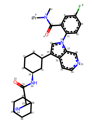 CC(C)N(C)C(=O)c1cc(F)ccc1-n1cc(C2CCC[C@H](NC(=O)C3NC4CCC3CC4)C2)c2ccncc21